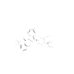 O=C(c1c(Cl)cccc1C(F)(F)F)c1nc(N2CCC(C(=O)O)C(O)C2)c2ccccn12